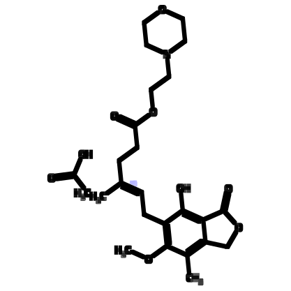 CC(=O)O.COc1c(C)c2c(c(O)c1C/C=C(\C)CCC(=O)OCCN1CCOCC1)C(=O)OC2